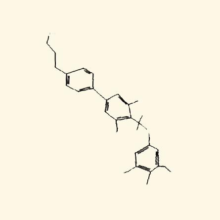 CCCC(C)CCCc1ccc(-c2cc(F)c(C(F)(F)Oc3cc(F)c(F)c(F)c3)c(F)c2)cc1